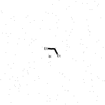 CCCCC.[B]